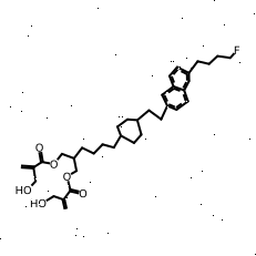 C=C(CO)C(=O)OCC(CCCCC1CCC(CCc2ccc3cc(CCCCF)ccc3c2)CC1)COC(=O)C(=C)CO